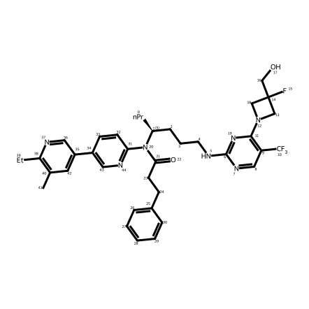 CCC[C@@H](CCCNc1ncc(C(F)(F)F)c(N2CC(F)(CO)C2)n1)N(C(=O)CCc1ccccc1)c1ccc(-c2cnc(CC)c(C)c2)cn1